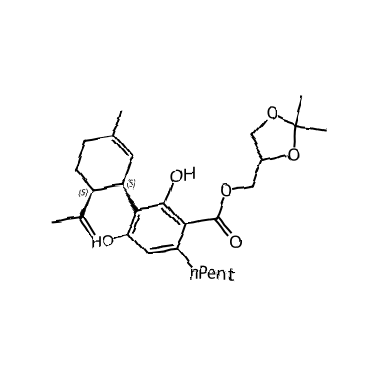 C=C(C)[C@H]1CCC(C)=C[C@H]1c1c(O)cc(CCCCC)c(C(=O)OCC2COC(C)(C)O2)c1O